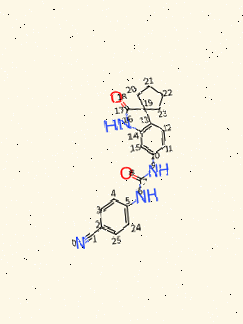 N#Cc1ccc(NC(=O)Nc2ccc3c(c2)NC(=O)C32CCCC2)cc1